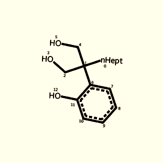 CCCCCCCC(CO)(CO)c1ccccc1O